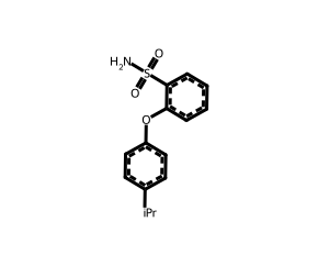 CC(C)c1ccc(Oc2ccccc2S(N)(=O)=O)cc1